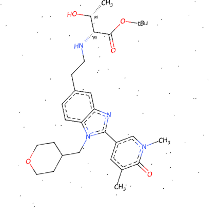 Cc1cc(-c2nc3cc(CCN[C@@H](C(=O)OC(C)(C)C)[C@@H](C)O)ccc3n2CC2CCOCC2)cn(C)c1=O